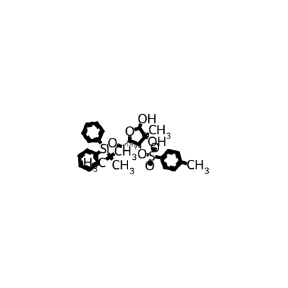 Cc1ccc(S(=O)(=O)O[C@@H]2[C@H](CO[Si](c3ccccc3)(c3ccccc3)C(C)(C)C)OC(O)[C@]2(C)O)cc1